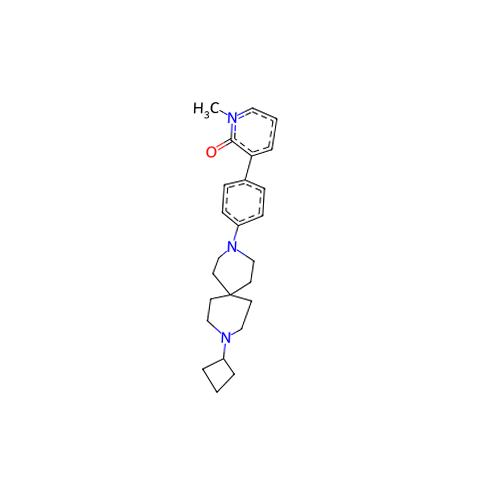 Cn1cccc(-c2ccc(N3CCC4(CC3)CCN(C3CCC3)CC4)cc2)c1=O